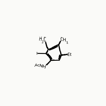 CCc1cc(NC(C)=O)c(I)c(C)c1C